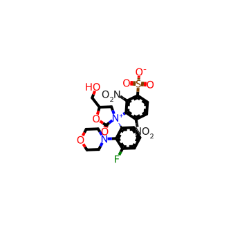 O=C1OC(CO)C[N@@+]1(c1cccc(F)c1N1CCOCC1)c1c([N+](=O)[O-])ccc(S(=O)(=O)[O-])c1[N+](=O)[O-]